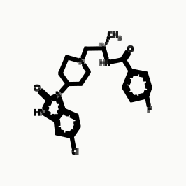 C[C@@H](CN1CCC(n2c(=O)[nH]c3cc(Cl)ccc32)CC1)NC(=O)c1ccc(F)cc1